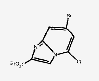 CCOC(=O)c1cn2c(Cl)cc(Br)cc2n1